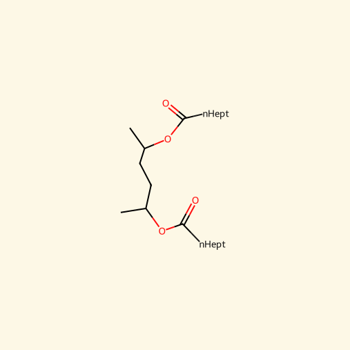 CCCCCCCC(=O)OC(C)CCC(C)OC(=O)CCCCCCC